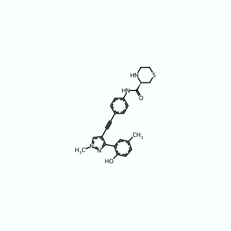 Cc1ccc(O)c(-c2nn(C)cc2C#Cc2ccc(NC(=O)[C@@H]3CSCCN3)cc2)c1